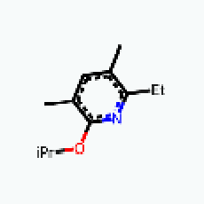 CCc1nc(OC(C)C)c(C)cc1C